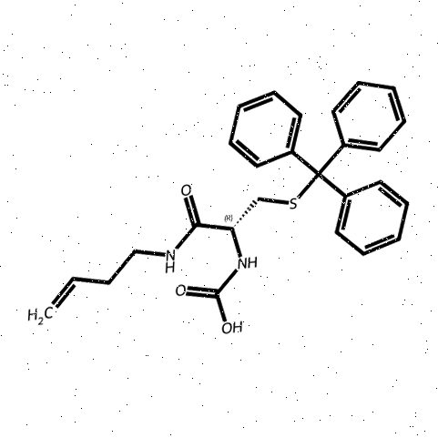 C=CCCNC(=O)[C@H](CSC(c1ccccc1)(c1ccccc1)c1ccccc1)NC(=O)O